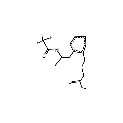 CC(Cc1ccccc1CCCC(=O)O)NC(=O)C(F)(F)F